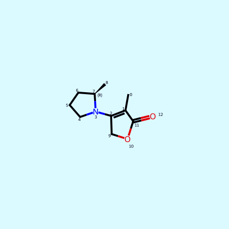 CC1=C(N2CCC[C@H]2C)COC1=O